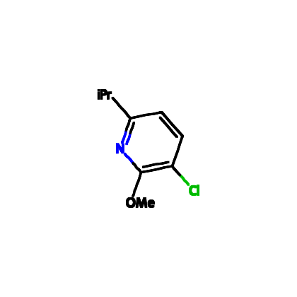 COc1nc(C(C)C)ccc1Cl